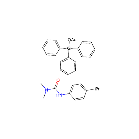 CC(=O)[O][Sn]([c]1ccccc1)([c]1ccccc1)[c]1ccccc1.CC(C)c1ccc(NC(=O)N(C)C)cc1